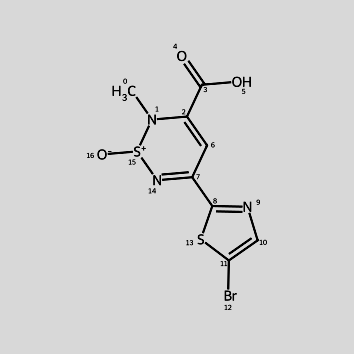 CN1C(C(=O)O)=CC(c2ncc(Br)s2)=N[S+]1[O-]